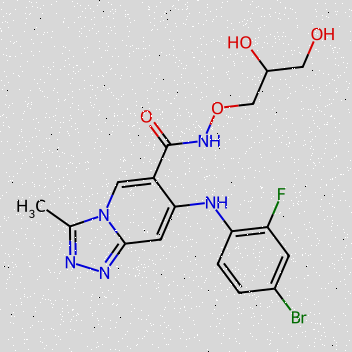 Cc1nnc2cc(Nc3ccc(Br)cc3F)c(C(=O)NOCC(O)CO)cn12